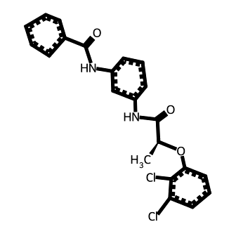 C[C@H](Oc1cccc(Cl)c1Cl)C(=O)Nc1cccc(NC(=O)c2ccccc2)c1